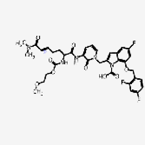 COCCOC(=O)NC(CC/C=C/C(=O)N(C)C)C(=O)Nc1cccn(Cc2cc3cc(F)cc(OCc4ccc(F)cc4F)c3n2C(=O)O)c1=O